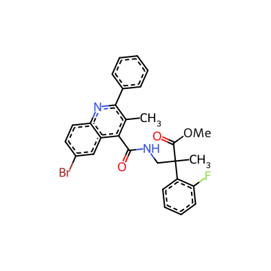 COC(=O)C(C)(CNC(=O)c1c(C)c(-c2ccccc2)nc2ccc(Br)cc12)c1ccccc1F